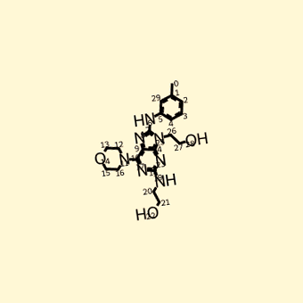 Cc1cccc(Nc2nc3c(N4CCOCC4)nc(NCCO)nc3n2CCO)c1